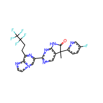 CC1(c2ccc(F)cn2)C(=O)Nc2nc(-c3cn4ccnc4c(CCC(F)(F)C(F)(F)F)n3)ncc21